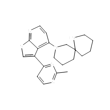 Cc1nccc(-c2c[nH]c3nccc(N4CCCC5(CCCCN5)C4)c23)n1